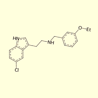 CCOc1cccc(CNCCc2c[nH]c3ccc(Cl)cc23)c1